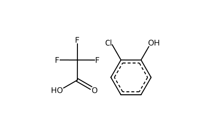 O=C(O)C(F)(F)F.Oc1ccccc1Cl